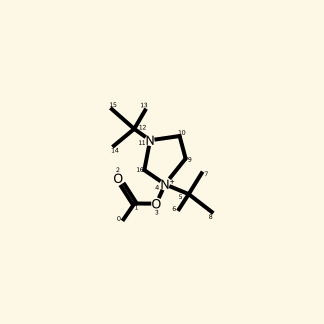 CC(=O)O[N+]1(C(C)(C)C)CCN(C(C)(C)C)C1